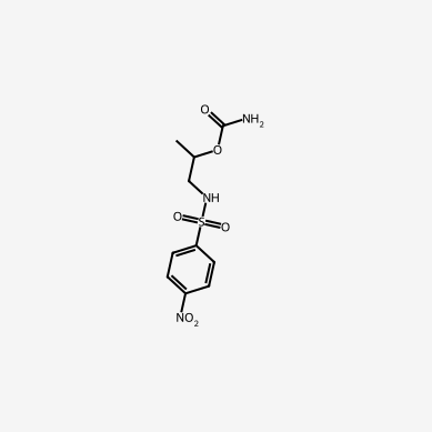 CC(CNS(=O)(=O)c1ccc([N+](=O)[O-])cc1)OC(N)=O